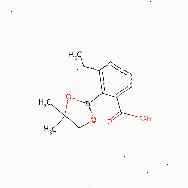 CCc1cccc(C(=O)O)c1B1OCC(C)(C)O1